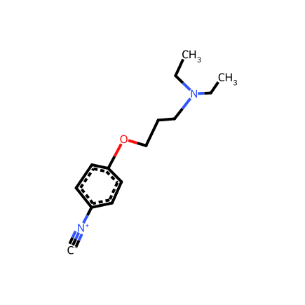 [C-]#[N+]c1ccc(OCCCN(CC)CC)cc1